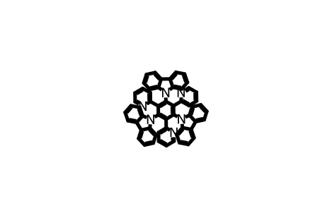 c1ccc(-c2c(-n3c4ccccc4c4ccccc43)c(-c3ccccn3)c(-n3c4ccccc4c4ccccc43)c(-c3ccccn3)c2-n2c3ccccc3c3ccccc32)nc1